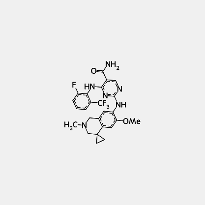 COc1cc2c(cc1Nc1ncc(C(N)=O)c(Nc3c(F)cccc3C(F)(F)F)n1)CN(C)CC21CC1